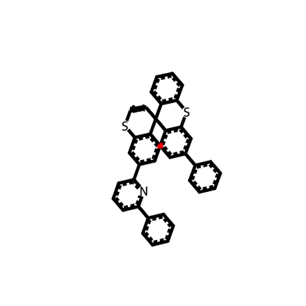 c1ccc(-c2ccc3c(c2)Sc2ccccc2C32c3ccccc3Sc3cc(-c4cccc(-c5ccccc5)n4)ccc32)cc1